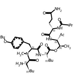 CC[C@H](C)[C@H](N)C(=O)N(C)[C@@H](Cc1ccc(OC(C)(C)C)cc1)C(=O)N[C@H](C(=O)O[C@H](C)[C@H](NC(=O)[C@H](CCC(N)=O)NC(=O)C(C)C)C(C)=O)[C@@H](C)CC